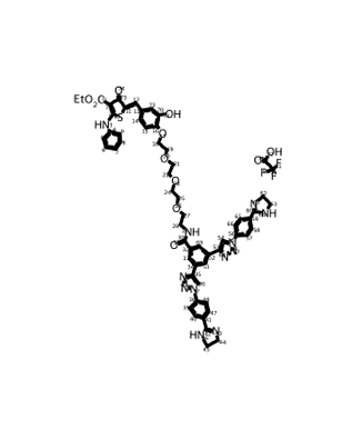 CCOC(=O)C1=C(Nc2ccccc2)S/C(=C\c2ccc(OCCOCCOCCOCCNC(=O)c3cc(-c4cn(-c5ccc(C6=NCCN6)cc5)nn4)cc(-c4cn(-c5ccc(C6=NCCN6)cc5)nn4)c3)c(O)c2)C1=O.O=C(O)C(F)(F)F